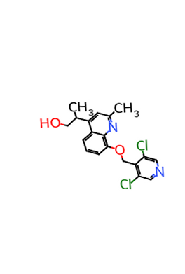 Cc1cc(C(C)CO)c2cccc(OCc3c(Cl)cncc3Cl)c2n1